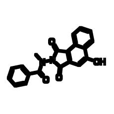 CN(C(=O)c1ccccc1)N1C(=O)c2cc(O)c3ccccc3c2C1=O